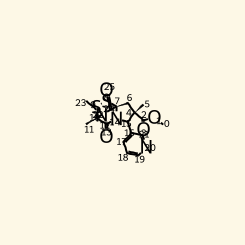 COC(=O)[C@@]1(C)C[C@@]23SS[C@@](C)(C(=O)N2C1c1cccnc1)N(C)C3=O